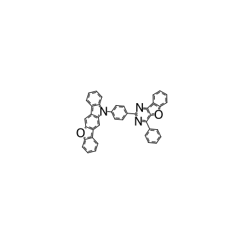 c1ccc(-c2nc(-c3ccc(-n4c5ccccc5c5cc6oc7ccccc7c6cc54)cc3)nc3c2oc2ccccc23)cc1